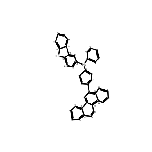 c1ccc(N(c2ccc(-c3cc4c5ccccc5ccc4c4ccccc34)cc2)c2cnc3sc4ccccc4c3c2)cc1